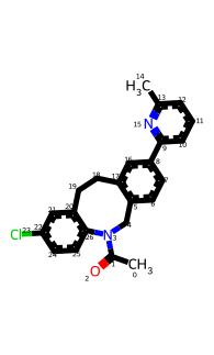 CC(=O)N1Cc2ccc(-c3cccc(C)n3)cc2CCc2cc(Cl)ccc21